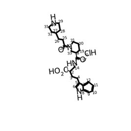 Cl.O=C(O)[C@@H](CCc1c[nH]c2ccccc12)CNC(=O)[C@@H]1CCCN(C(=O)CCC2CCNCC2)C1